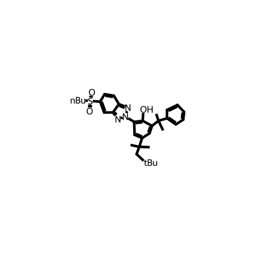 CCCCS(=O)(=O)c1ccc2nn(-c3cc(C(C)(C)CC(C)(C)C)cc(C(C)(C)c4ccccc4)c3O)nc2c1